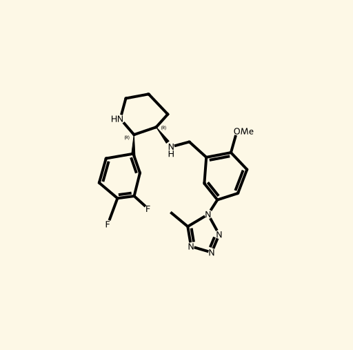 COc1ccc(-n2nnnc2C)cc1CN[C@@H]1CCCN[C@@H]1c1ccc(F)c(F)c1